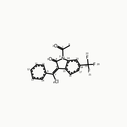 CC(=O)N1C(=O)C(=C(Cl)c2ccccc2)c2ccc(C(F)(F)F)cc21